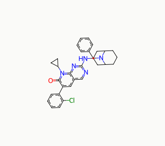 O=c1c(-c2ccccc2Cl)cc2cnc(NC3CC4CCCC(C3)N4Cc3ccccc3)nc2n1C1CC1